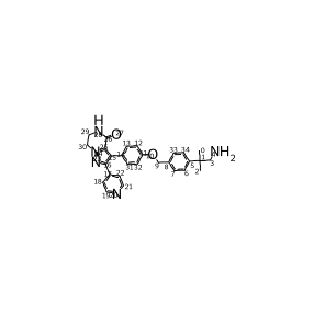 CC(C)(CN)c1ccc(COc2ccc(-c3c(-c4ccncc4)nn4c3C(=O)NCC4)cc2)cc1